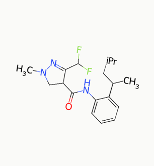 CC(C)CC(C)c1ccccc1NC(=O)C1CN(C)N=C1C(F)F